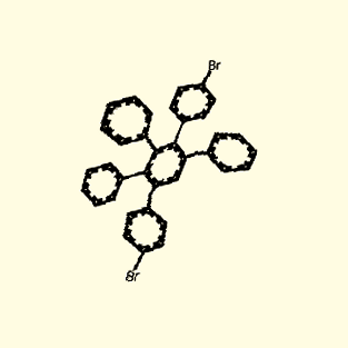 Brc1ccc(-c2cc(-c3ccccc3)c(-c3ccc(Br)cc3)c(-c3ccccc3)c2-c2ccccc2)cc1